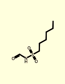 CCCCCCS(=O)(=O)NC=O